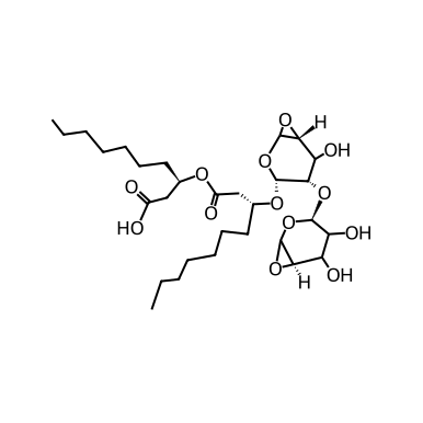 CCCCCCC[C@H](CC(=O)O)OC(=O)C[C@@H](CCCCCCC)O[C@@H]1OC2O[C@@H]2C(O)[C@@H]1O[C@@H]1OC2O[C@@H]2C(O)C1O